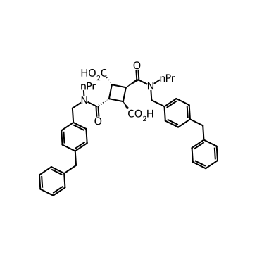 CCCN(Cc1ccc(Cc2ccccc2)cc1)C(=O)[C@H]1[C@H](C(=O)O)[C@H](C(=O)N(CCC)Cc2ccc(Cc3ccccc3)cc2)[C@H]1C(=O)O